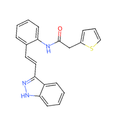 O=C(Cc1cccs1)Nc1ccccc1C=Cc1n[nH]c2ccccc12